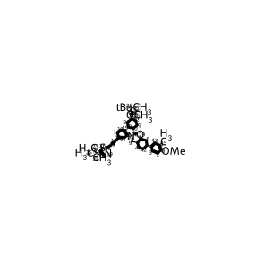 COc1ccc([C@H]2CC[C@H](CN(c3cccc(C#Cc4ncc([Si](C)(C)C)s4)c3)C(=O)[C@H]3CC[C@H](O[Si](C)(C)C(C)(C)C)CC3)CC2)cc1C